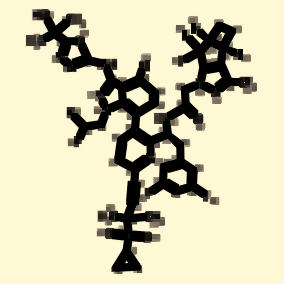 CC(C)(O)c1nnc(Nc2nn(CC(F)F)c3c(-c4ccc(C#CC(C)(C)S(=O)(=O)C5CC5)nc4[C@H](Cc4cc(F)cc(F)c4)NC(=O)Cn4nc(C(F)(F)F)c5c4C(F)(F)[C@@H]4CC[C@H]54)ccc(Cl)c23)o1